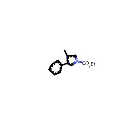 CCOC(=O)n1cc(C)c(-c2ccccc2)c1